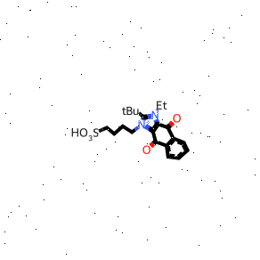 CCn1c2c([n+](CCCCS(=O)(=O)O)c1C(C)(C)C)C(=O)c1ccccc1C2=O